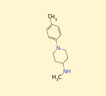 CNC1CCN(c2ccc(C)cc2)CC1